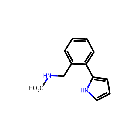 O=C(O)NCc1ccccc1-c1ccc[nH]1